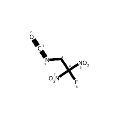 O=C=NCC(F)([N+](=O)[O-])[N+](=O)[O-]